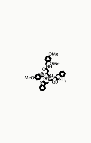 CCCC[C@H](CC(=O)NCc1ccc(OC)cc1OC)C(=O)N(OCc1ccc(OC)cc1)[C@@H](Cc1csc2ccccc12)C(=O)N[C@@H](Cc1ccccc1)C(N)=O